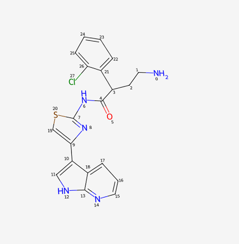 NCCC(C(=O)Nc1nc(-c2c[nH]c3ncccc23)cs1)c1ccccc1Cl